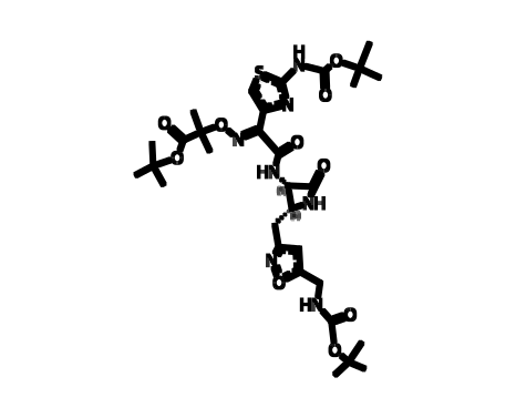 CC(C)(C)OC(=O)NCc1cc(C[C@H]2NC(=O)[C@H]2NC(=O)C(=NOC(C)(C)C(=O)OC(C)(C)C)c2csc(NC(=O)OC(C)(C)C)n2)no1